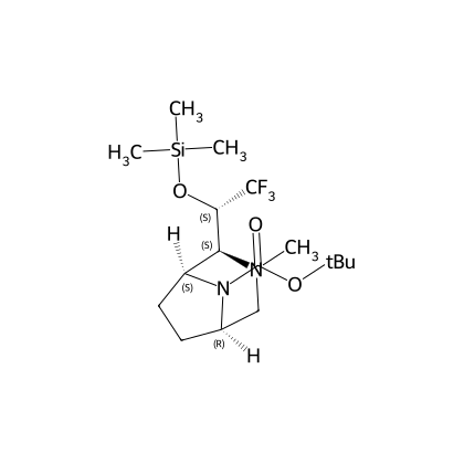 CN1C[C@H]2CC[C@@H]([C@H]1[C@H](O[Si](C)(C)C)C(F)(F)F)N2C(=O)OC(C)(C)C